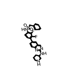 O=S(=O)(Cc1ccccc1)Nc1ccc(-c2ccc3nc(NC4CCCNC4)ncc3c2)c(F)c1F